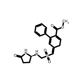 COC(=O)C1=CCC(=CS(=O)(=O)CN[C@H]2CCC(=O)N2)C=C1c1ccccc1